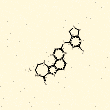 C[C@@H]1CNc2c(sc3ccc4nc(Oc5nc(Cl)nc6c5COC6)cnc4c23)C(=O)N1